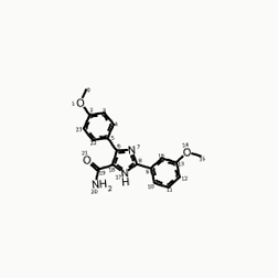 COc1ccc(-c2nc(-c3cccc(OC)c3)[nH]c2C(N)=O)cc1